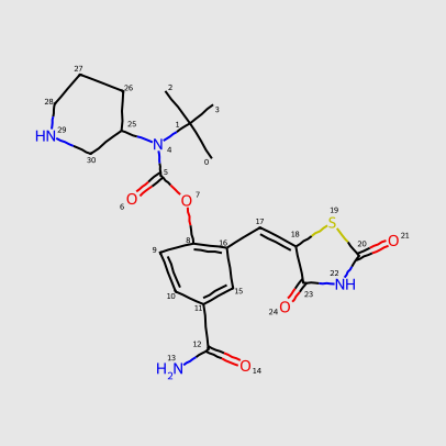 CC(C)(C)N(C(=O)Oc1ccc(C(N)=O)cc1C=C1SC(=O)NC1=O)C1CCCNC1